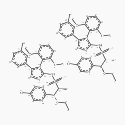 CCO[C@@H](c1ncc(Cl)cn1)[C@@H](C)S(=O)(=O)Nc1nnc(-c2cncc(C)c2)n1-c1c(OC)cccc1OC.CCO[C@H](c1ncc(Cl)cn1)[C@H](C)S(=O)(=O)Nc1nnc(-c2cncc(C)c2)n1-c1c(OC)cccc1OC